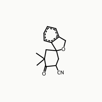 CC1(C)CC2(CC(C#N)C1=O)OCc1ccccc12